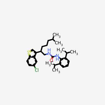 CC(C)CCCC(CNC(=O)Nc1c(C(C)C)cccc1C(C)C)c1csc2ccc(Cl)cc12